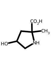 CC1(C(=O)O)CC(O)CN1